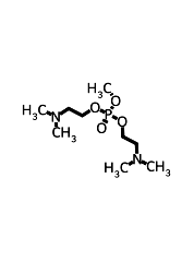 COP(=O)(OCCN(C)C)OCCN(C)C